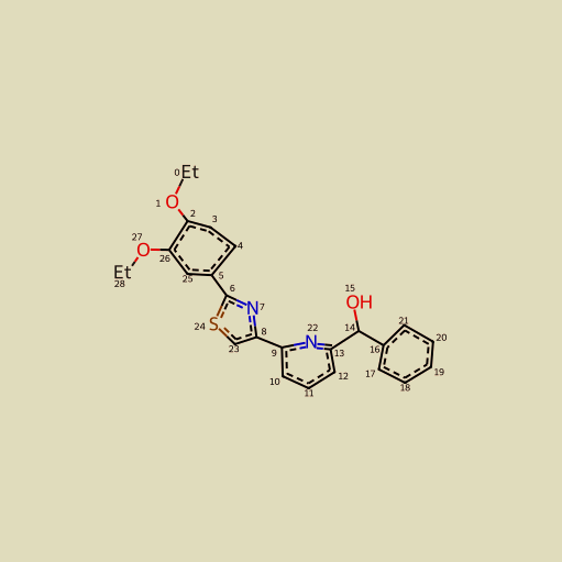 CCOc1ccc(-c2nc(-c3cccc(C(O)c4ccccc4)n3)cs2)cc1OCC